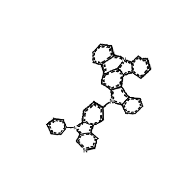 c1ccc(-n2c3ccc(-n4c5ccccc5c5c6c7ccccc7n7c8ccccc8c(cc54)c67)cc3c3ccncc32)cc1